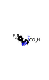 O=C(O)Nc1ccn2ncc(-c3ccc(C(F)(F)F)cc3)c2c1